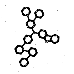 c1ccc(-c2ccc(N(c3ccc(-c4ccccc4-c4ccccc4-c4ccccc4)cc3)c3ccc4c(c3)oc3ccccc34)cc2-c2ccccc2)cc1